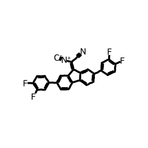 [C-]#[N+]C(C#N)=C1c2cc(-c3ccc(F)c(F)c3)ccc2-c2ccc(-c3ccc(F)c(F)c3)cc21